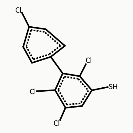 Sc1cc(Cl)c(Cl)c(-c2ccc(Cl)cc2)c1Cl